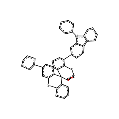 c1ccc(-c2ccc3c(c2)Sc2ccccc2C32c3ccccc3Sc3c(-c4ccc5c6ccccc6n(-c6ccccc6)c5c4)cccc32)cc1